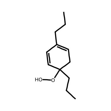 CCCC1=CCC(CCC)(OO)C=C1